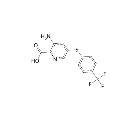 Nc1cc(Sc2ccc(C(F)(F)F)cc2)cnc1C(=O)O